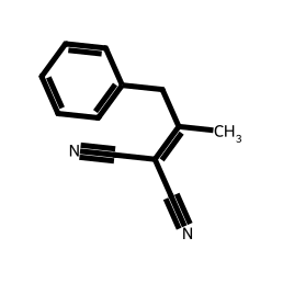 CC(Cc1ccccc1)=C(C#N)C#N